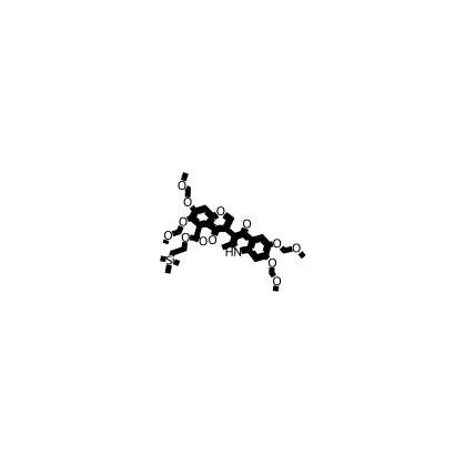 COCOc1cc2[nH]c(C)c(-c3coc4cc(OCOC)c(OCOC)c(C(=O)OCC[Si](C)(C)C)c4c3=O)c(=O)c2cc1OCOC